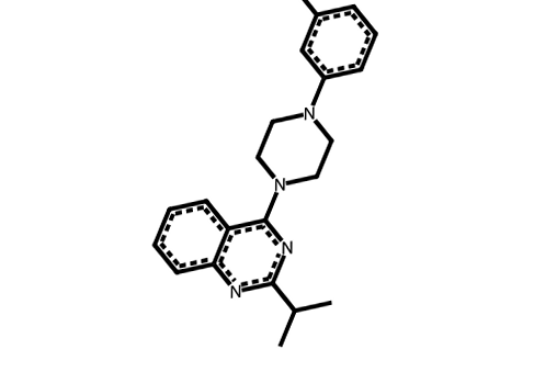 CC(C)c1nc(N2CCN(c3cccc(Cl)c3)CC2)c2ccccc2n1